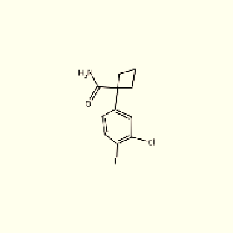 NC(=O)C1(c2ccc(F)c(Cl)c2)CCC1